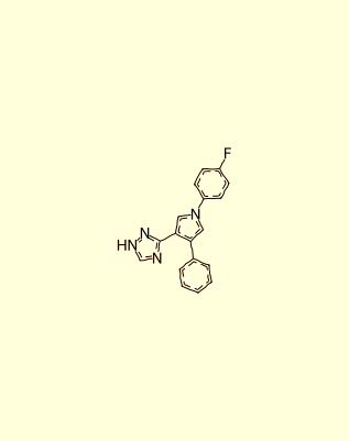 Fc1ccc(-n2cc(-c3ccccc3)c(-c3nc[nH]n3)c2)cc1